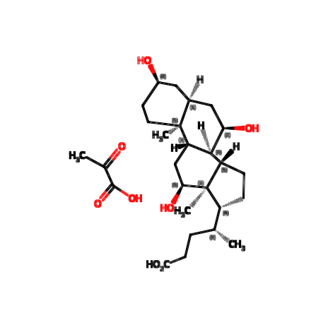 CC(=O)C(=O)O.C[C@H](CCC(=O)O)[C@H]1CC[C@H]2[C@@H]3[C@H](O)C[C@@H]4C[C@H](O)CC[C@]4(C)[C@H]3C[C@H](O)[C@]12C